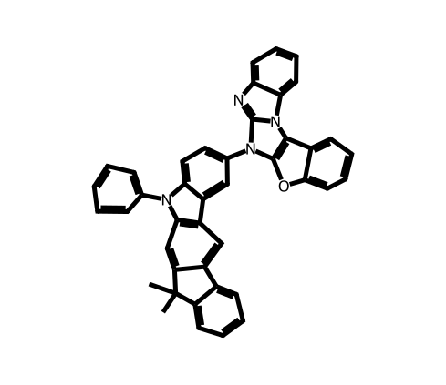 CC1(C)c2ccccc2-c2cc3c4cc(-n5c6oc7ccccc7c6n6c7ccccc7nc56)ccc4n(-c4ccccc4)c3cc21